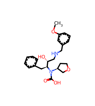 COc1cccc(CNC[C@@H](O)[C@H](Cc2ccccc2)N(C(=O)O)[C@H]2CCOC2)c1